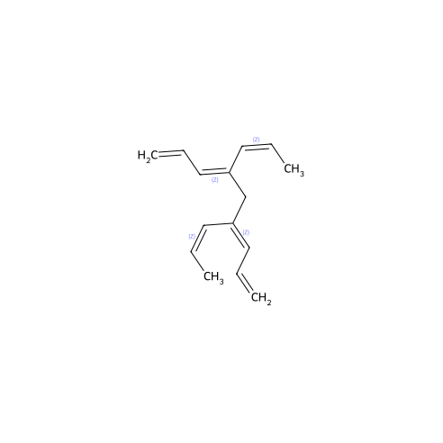 C=C/C=C(\C=C/C)CC(/C=C\C)=C/C=C